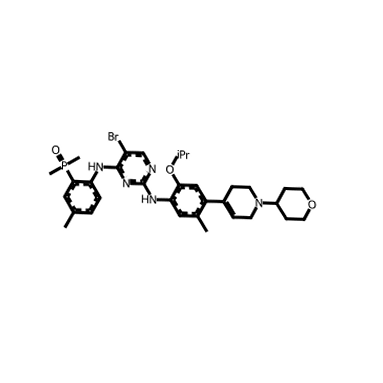 Cc1ccc(Nc2nc(Nc3cc(C)c(C4=CCN(C5CCOCC5)CC4)cc3OC(C)C)ncc2Br)c(P(C)(C)=O)c1